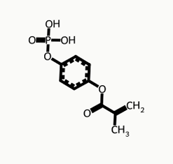 C=C(C)C(=O)Oc1ccc(OP(=O)(O)O)cc1